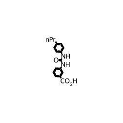 CCCc1ccc(NC(=O)Nc2cccc(C(=O)O)c2)cc1